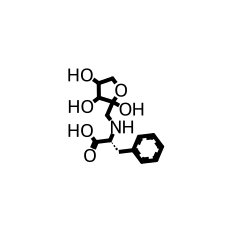 O=C(O)[C@@H](Cc1ccccc1)NCC1(O)OCC(O)C1O